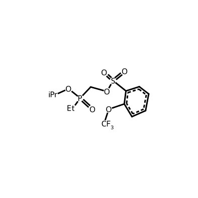 CCP(=O)(COS(=O)(=O)c1ccccc1OC(F)(F)F)OC(C)C